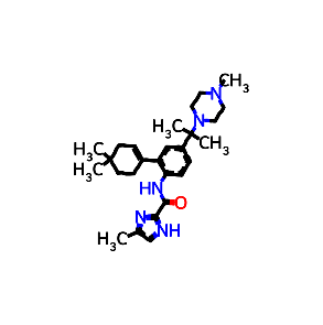 Cc1c[nH]c(C(=O)Nc2ccc(C(C)(C)N3CCN(C)CC3)cc2C2=CCC(C)(C)CC2)n1